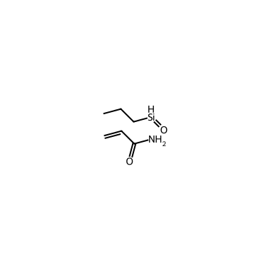 C=CC(N)=O.CCC[SiH]=O